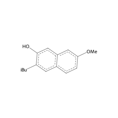 CCC(C)c1cc2ccc(OC)cc2cc1O